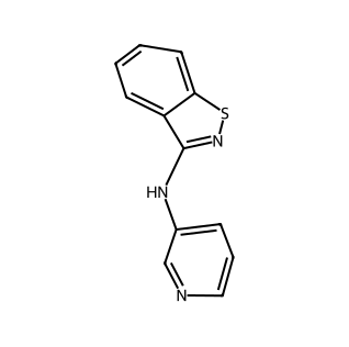 c1cncc(Nc2nsc3ccccc23)c1